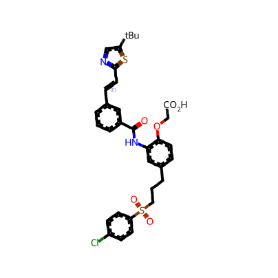 CC(C)(C)c1cnc(/C=C/c2cccc(C(=O)Nc3cc(CCCS(=O)(=O)c4ccc(Cl)cc4)ccc3OCC(=O)O)c2)s1